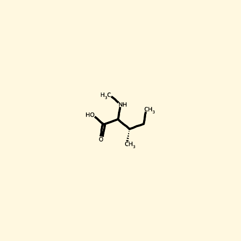 CC[C@H](C)C(NC)C(=O)O